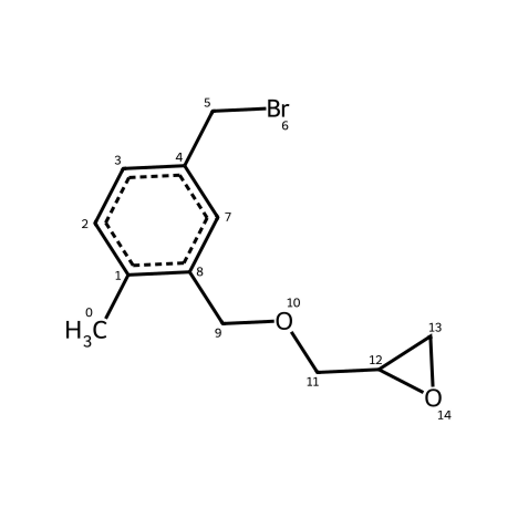 Cc1ccc(CBr)cc1COCC1CO1